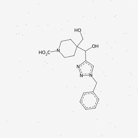 O=C(O)N1CCC(CO)(C(O)c2cn(Cc3ccccc3)nn2)CC1